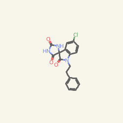 O=C1NC(=O)C2(N1)C(=O)N(CCc1ccccc1)c1ccc(Cl)cc12